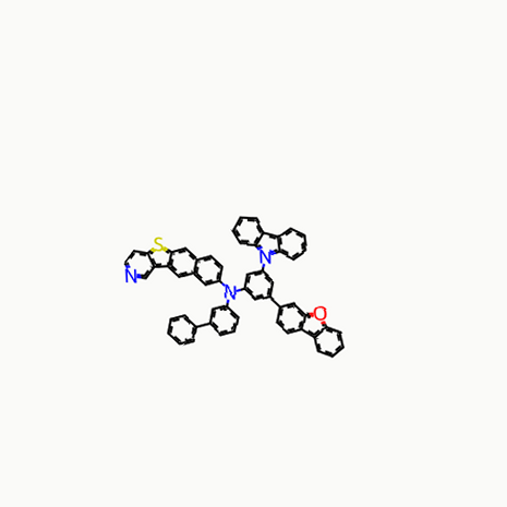 c1ccc(-c2cccc(N(c3cc(-c4ccc5c(c4)oc4ccccc45)cc(-n4c5ccccc5c5ccccc54)c3)c3ccc4cc5sc6ccncc6c5cc4c3)c2)cc1